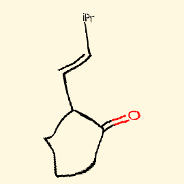 CC(C)C=CC1CCCC1=O